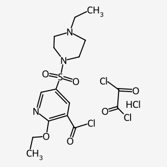 CCOc1ncc(S(=O)(=O)N2CCN(CC)CC2)cc1C(=O)Cl.Cl.O=C(Cl)C(=O)Cl